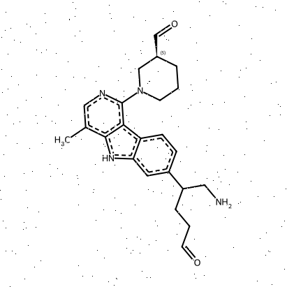 Cc1cnc(N2CCC[C@H](C=O)C2)c2c1[nH]c1cc(C(CN)CCC=O)ccc12